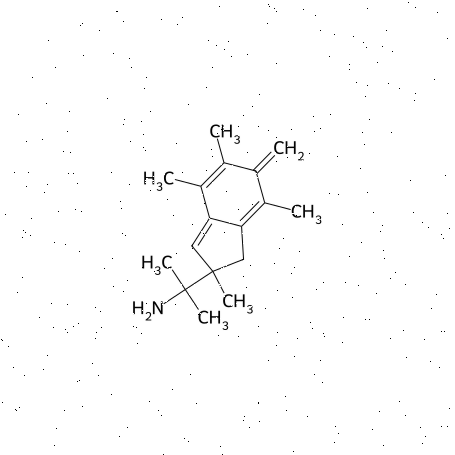 C=c1c(C)c(C)c2c(c1C)CC(C)(C(C)(C)N)C=2